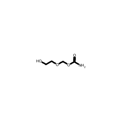 NC(=O)OCOCCO